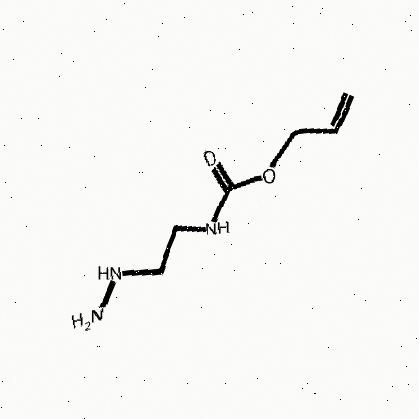 C=CCOC(=O)NCCNN